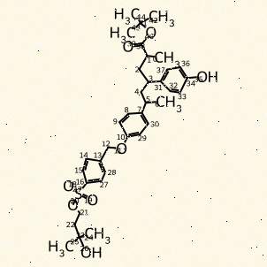 CC(CC(CC(C)c1ccc(OCc2ccc(S(=O)(=O)OCCC(C)(C)O)cc2)cc1)c1ccc(O)cc1)C(=O)OC(C)(C)C